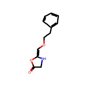 O=C1CN/C(=C\OCCc2ccccc2)O1